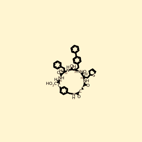 O=C1CCC(=O)N[C@@H](CC2CC=CS2)C(=O)N[C@@H](Cc2ccc(-c3ccccc3)cc2)C(=O)N[C@@H](Cc2ccccc2)C(=O)N[C@@H](C(=O)O)Cc2ccc(cc2)N1